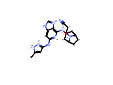 Cc1cc(Nc2cc3[nH]cnc3c(NC3CC4CCC(C3)N4CCC#N)n2)n[nH]1